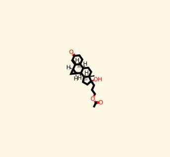 CC(=O)OCCC[C@]1(O)CC[C@H]2[C@@H]3[C@H]4C[C@H]4C4=CC(=O)CC[C@@H]4[C@H]3CC[C@@]21C